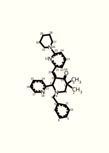 CC1(C)CN(Cc2ccccc2)C(c2ccccn2)C(=Cc2cccc(N3CCCCC3)n2)C1=O